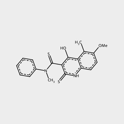 COc1ccc2[nH]c(=S)c(C(=S)N(C)c3ccccc3)c(O)c2c1C